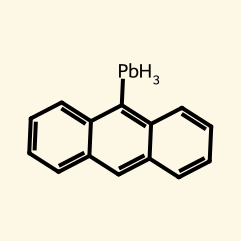 [PbH3][c]1c2ccccc2cc2ccccc12